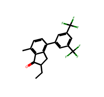 CCC1Cc2c(-c3cc(C(F)(F)F)cc(C(F)(F)F)c3)ccc(C)c2C1=O